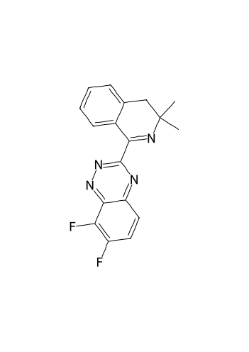 CC1(C)Cc2ccccc2C(c2nnc3c(F)c(F)ccc3n2)=N1